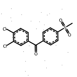 CS(=O)(=O)c1ccc(C(=O)c2ccc(Cl)c(Cl)c2)cc1